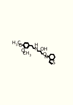 COc1ccc(CCNCC(O)CO/N=C2\CCCc3sccc32)cc1OC